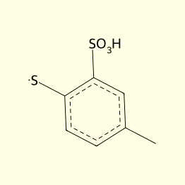 Cc1ccc([S])c(S(=O)(=O)O)c1